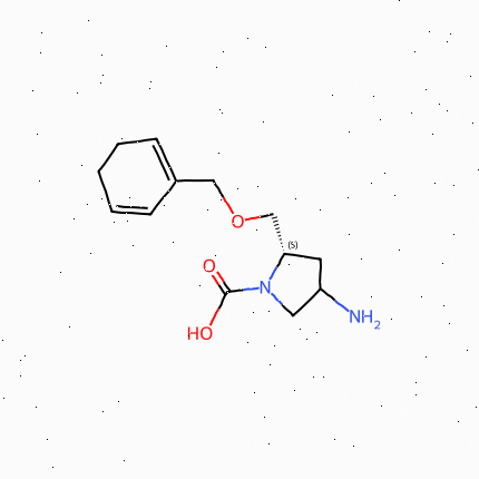 NC1C[C@@H](COCC2=CCCC=C2)N(C(=O)O)C1